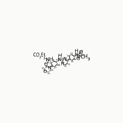 CCOC(=O)CNC(=O)c1cc(Nc2nccc(-c3ccc(NS(C)(=O)=O)cc3)n2)ccc1N1CCOCC1